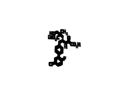 CCOC(=O)[C@](C)(CO)C[C@@H](Cc1ccc(-c2cc(Cl)ccc2F)cc1)NC(=O)C(=O)O